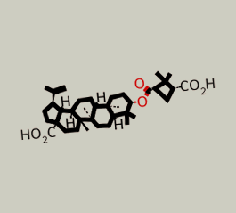 C=C(C)[C@@H]1CC[C@]2(C(=O)O)CC[C@]3(C)[C@H](CC[C@@H]4[C@@]5(C)CC[C@H](OC(=O)[C@H]6C[C@@H](C(=O)O)C6(C)C)C(C)(C)[C@@H]5CC[C@]43C)[C@@H]12